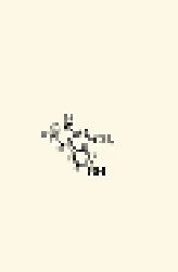 CCc1cc(O)ccc1[C@@H](CC1CO1)C(=O)O